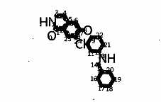 O=c1[nH]ccc2cc(O[C@H]3CC[C@H](NCC4CCCCC4)CC3)c(Cl)cc12